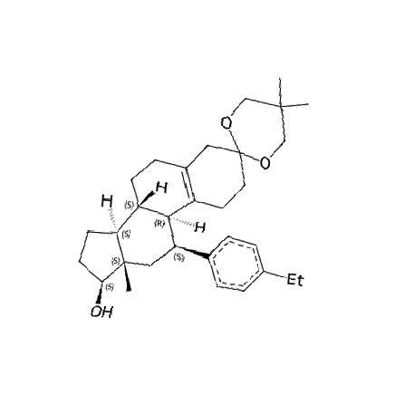 CCc1ccc([C@H]2C[C@]3(C)[C@@H](O)CC[C@H]3[C@@H]3CCC4=C(CCC5(C4)OCC(C)(C)CO5)[C@H]32)cc1